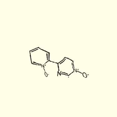 [O-][n+]1[c]nc(-c2cccc[n+]2[O-])cc1